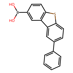 OB(O)c1ccc2sc3ccc(-c4ccccc4)cc3c2c1